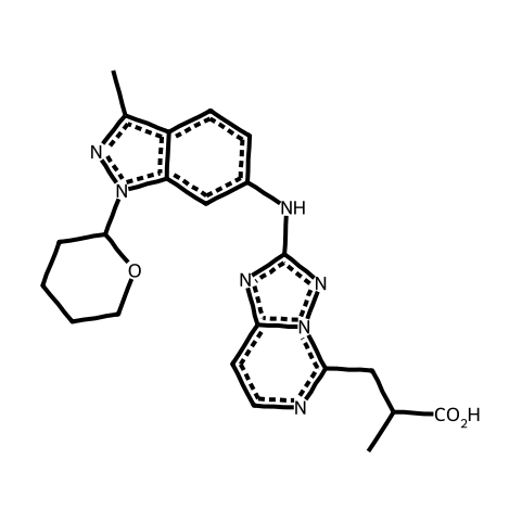 Cc1nn(C2CCCCO2)c2cc(Nc3nc4ccnc(CC(C)C(=O)O)n4n3)ccc12